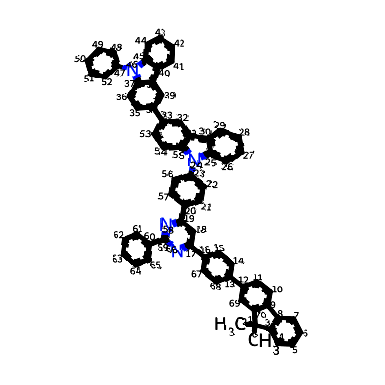 CC1(C)c2ccccc2-c2ccc(-c3ccc(-c4cc(-c5ccc(-n6c7ccccc7c7cc(-c8ccc9c(c8)c8ccccc8n9-c8ccccc8)ccc76)cc5)nc(-c5ccccc5)n4)cc3)cc21